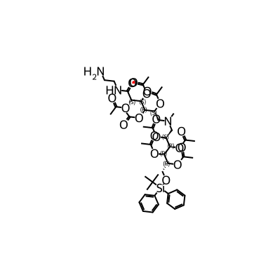 CC(=O)O[C@@H]([C@H](OC(C)=O)[C@H](OC(C)=O)C(=O)NCCN)[C@H](CN(C)C[C@H](OC(C)=O)[C@@H](OC(C)=O)[C@H](OC(C)=O)[C@@H](CO[Si](c1ccccc1)(c1ccccc1)C(C)(C)C)OC(C)=O)OC(C)=O